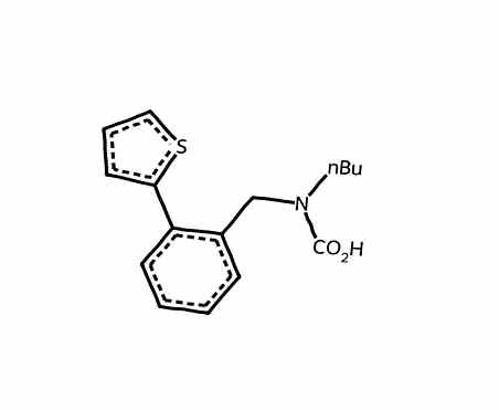 CCCCN(Cc1ccccc1-c1cccs1)C(=O)O